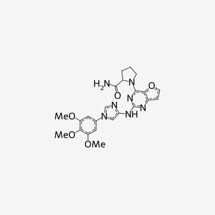 COc1cc(-n2cnc(Nc3nc(N4CCCC4C(N)=O)c4occc4n3)c2)cc(OC)c1OC